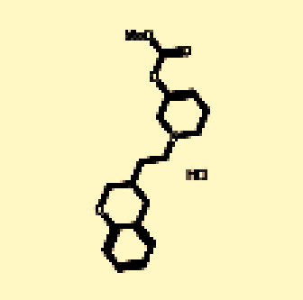 COC(=O)OC1=CCCN(CCC2COc3ccccc3C2)C1.Cl